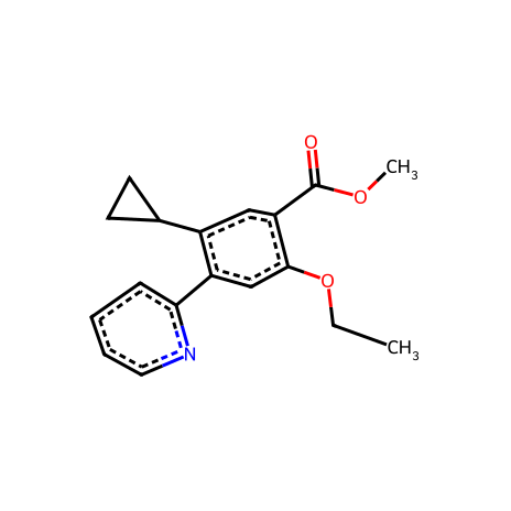 CCOc1cc(-c2ccccn2)c(C2CC2)cc1C(=O)OC